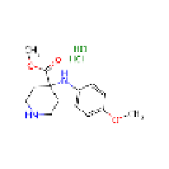 COC(=O)C1(Nc2ccc(OC)cc2)CCNCC1.Cl.Cl